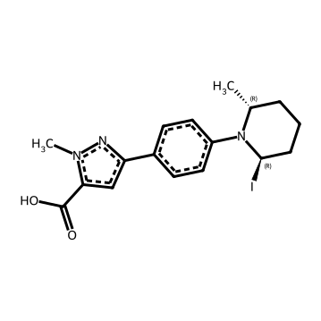 C[C@@H]1CCC[C@@H](I)N1c1ccc(-c2cc(C(=O)O)n(C)n2)cc1